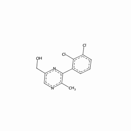 Cc1ncc(CO)nc1-c1cccc(Cl)c1Cl